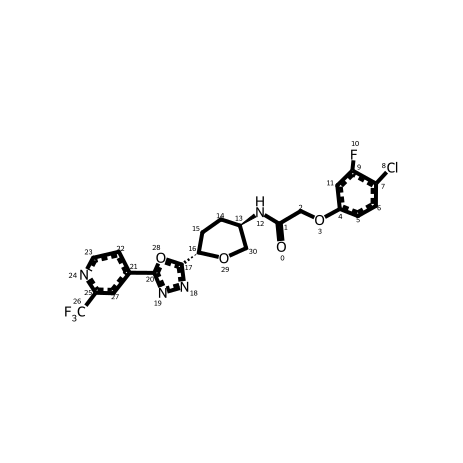 O=C(COc1ccc(Cl)c(F)c1)N[C@@H]1CC[C@@H](c2nnc(-c3ccnc(C(F)(F)F)c3)o2)OC1